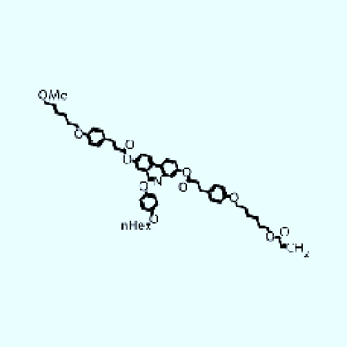 C=CC(=O)OCCCCCCOc1ccc(CCC(=O)Oc2ccc3c(c2)nc(Oc2ccc(OCCCCCC)cc2)c2cc(OC(=O)CCc4ccc(OCCCCCCOC)cc4)ccc23)cc1